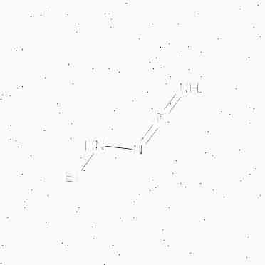 CCNN=C=N